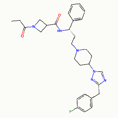 CCC(=O)N1CC(C(=O)N[C@@H](CCN2CCC(n3cnc(Cc4ccc(F)cc4)n3)CC2)c2ccccc2)C1